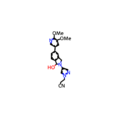 COc1cc(-c2ccc3c(c2)CN(c2cnn(CCC#N)c2)C3O)cnc1OC